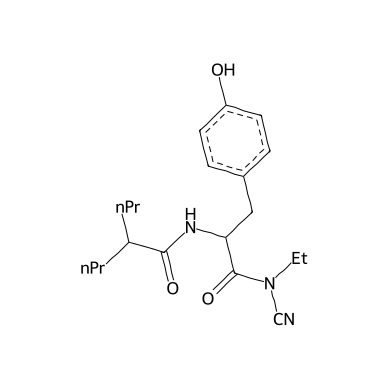 CCCC(CCC)C(=O)NC(Cc1ccc(O)cc1)C(=O)N(C#N)CC